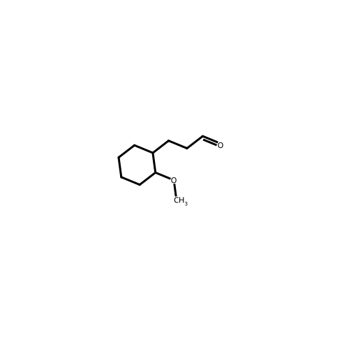 COC1CCCCC1CCC=O